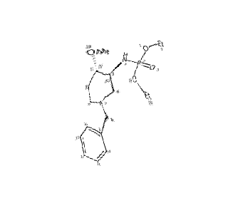 CCOP(=O)(N[C@H]1CN(Cc2ccccc2)CC[C@@H]1OC)OCC